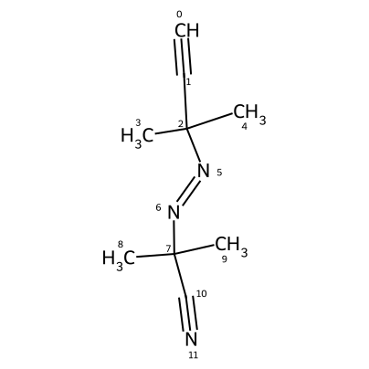 C#CC(C)(C)N=NC(C)(C)C#N